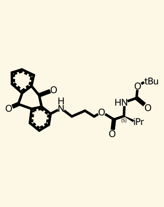 CC(C)[C@H](NC(=O)OC(C)(C)C)C(=O)OCCCNc1cccc2c1C(=O)c1ccccc1C2=O